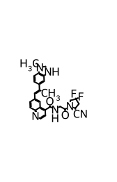 CC(=Cc1ccc2nccc(C(=O)NCC(=O)N3CC(F)(F)CC3C#N)c2c1)c1ccc2c(c1)NCN2C